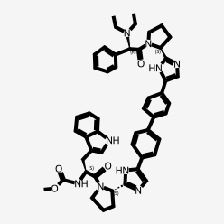 CCN(CC)[C@@H](C(=O)N1CCC[C@H]1c1ncc(-c2ccc(-c3ccc(-c4cnc([C@@H]5CCCN5C(=O)[C@H](Cc5c[nH]c6ccccc56)NC(=O)OC)[nH]4)cc3)cc2)[nH]1)c1ccccc1